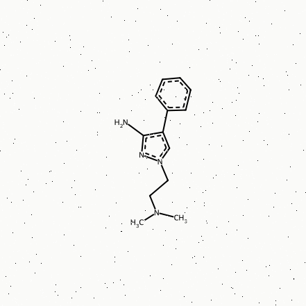 CN(C)CCn1cc(-c2ccccc2)c(N)n1